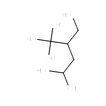 CCC(CC(C)C)C(O)(O)O